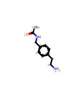 CC(C)(C)C(=O)NCc1ccc(CCN)cc1